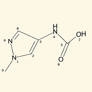 Cn1cc(NC(=O)O)cn1